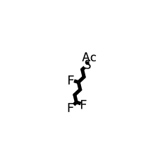 CC(=O)SCCC(F)CCC(F)F